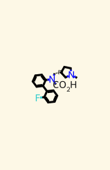 CN1CC[C@@H](CN(C(=O)O)c2ccccc2-c2ccccc2F)C1